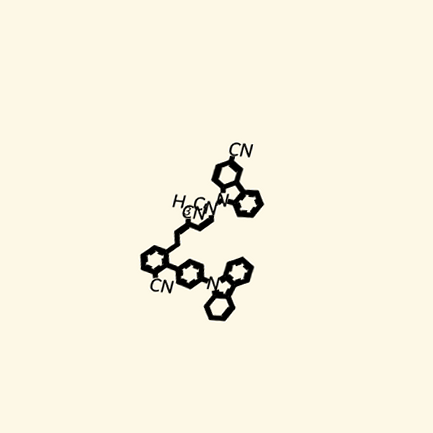 CN(/C=C\C(C#N)=C/Cc1cccc(C#N)c1-c1ccc(-n2c3c(c4ccccc42)C=CCC3)cc1)N1c2ccccc2C2C=C(C#N)C=CC21